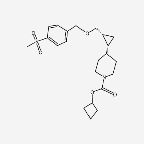 CS(=O)(=O)c1ccc(COC[C@@H]2C[C@@H]2C2CCN(C(=O)OC3CCC3)CC2)cc1